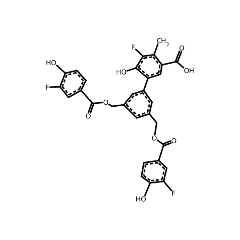 Cc1c(C(=O)O)cc(-c2cc(COC(=O)c3ccc(O)c(F)c3)cc(COC(=O)c3ccc(O)c(F)c3)c2)c(O)c1F